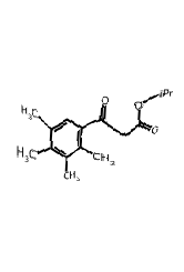 Cc1cc(C(=O)CC(=O)OC(C)C)c(C)c(C)c1C